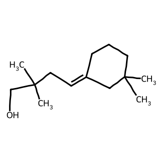 CC(C)(CO)CC=C1CCCC(C)(C)C1